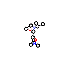 c1ccc(-c2ccc(N(c3ccc(-c4ccc5c(c4)oc4c5c5ccccc5n4-c4ccccc4)cc3)c3cccc4c3oc3ccccc34)c3ccccc23)cc1